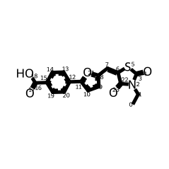 CCN1C(=O)SC(=Cc2ccc(-c3ccc(C(=O)O)cc3)o2)C1=O